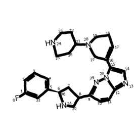 Fc1cccc([C@H]2CC(c3ccc4ncc(C5=CCCN(C6CCNCC6)C5)n4n3)CN2)c1